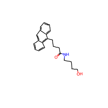 O=C(CCCc1c2ccccc2cc2ccccc12)NCCCCO